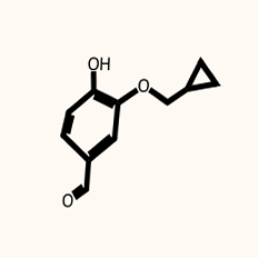 O=Cc1ccc(O)c(OCC2CC2)c1